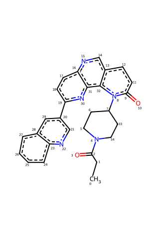 CCC(=O)N1CCC(n2c(=O)ccc3cnc4ccc(-c5cnc6ccccc6c5)nc4c32)CC1